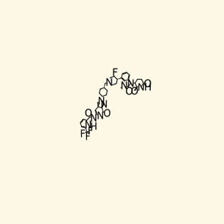 COc1nc(NC(=O)c2cccc(C(F)(F)F)n2)cc2cn([C@H]3CC[C@H](CN4CC[C@H](c5cccc6c5n(C)c(=O)n6C5CCC(=O)NC5=O)[C@@H](F)C4)CC3)nc12